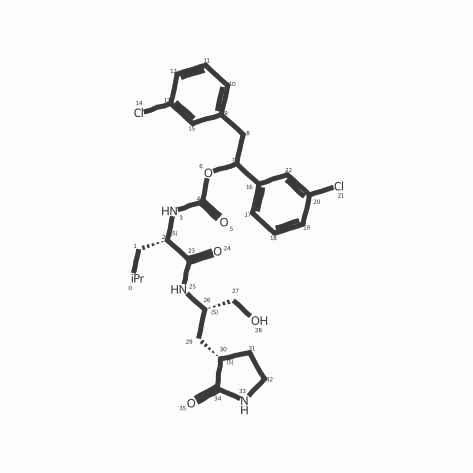 CC(C)C[C@H](NC(=O)OC(Cc1cccc(Cl)c1)c1cccc(Cl)c1)C(=O)N[C@H](CO)C[C@@H]1CCNC1=O